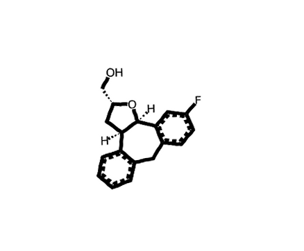 OC[C@H]1C[C@@H]2c3ccccc3Cc3ccc(F)cc3[C@@H]2O1